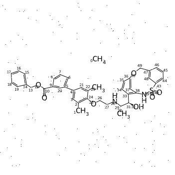 C.Cc1cc(-c2cccc(C(=O)OCc3ccccc3)c2)cc(C)c1OCCN[C@@H](C)[C@H](O)c1ccc2cc1NS(=O)(=O)c1cccc(c1)CO2